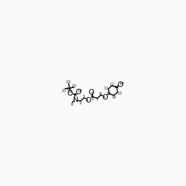 CN(CCOC(=O)CCOC1CCC(=O)CC1)C(=O)OC(C)(C)C